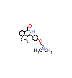 Cc1cccc2c1C=C(c1ccc(OCCN(C)C)cc1)NC2C=O